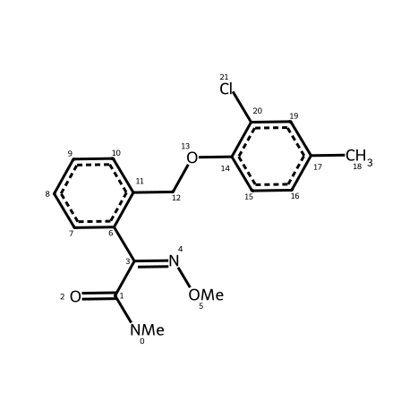 CNC(=O)C(=NOC)c1ccccc1COc1ccc(C)cc1Cl